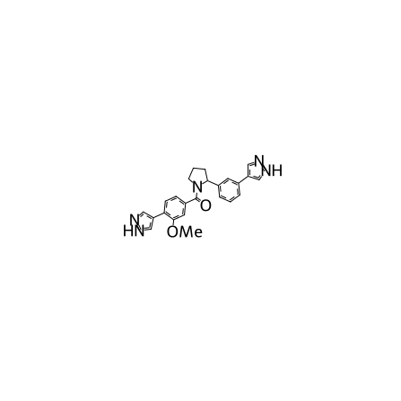 COc1cc(C(=O)N2CCCC2c2cccc(-c3cn[nH]c3)c2)ccc1-c1cn[nH]c1